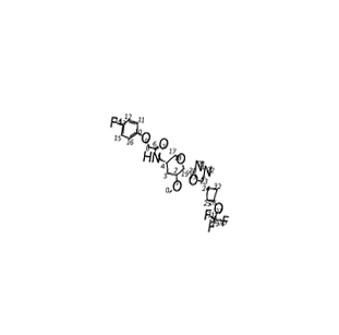 CO[C@H]1C[C@@H](NC(=O)COc2ccc(F)cc2)CO[C@@H]1c1nnc([C@H]2C[C@@H](OC(F)(F)F)C2)o1